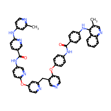 Cc1cc(Nc2ccc(C(=O)Nc3ccc(Oc4ccnc(Cc5cnccc5Oc5ccc(NC(=O)c6ccc(Nc7c(C)cnc8ccccc78)cc6)cc5)c4)nc3)cn2)ccn1